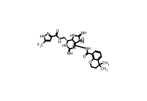 CC1(C)CCOc2c(C(=O)NC3CN4C(=N)N[C@@H](CNC(=O)c5cc(C(F)(F)F)[nH]n5)C5NC(=N)NC54[C@@H]3O)cccc21